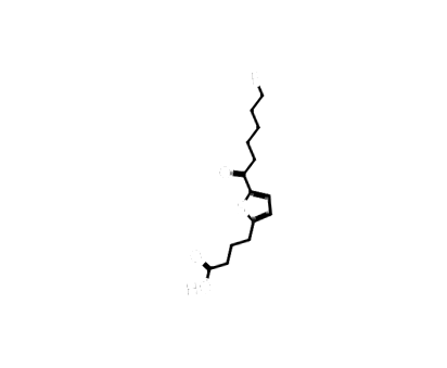 O=C(O)CCCc1ccc(C(=O)CCCCCF)s1